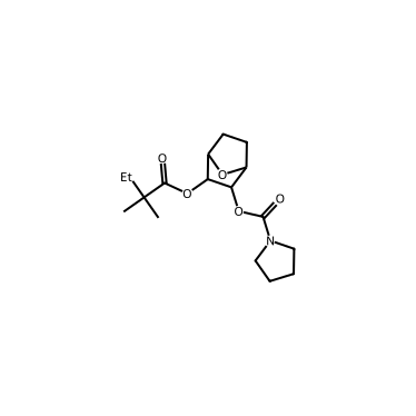 CCC(C)(C)C(=O)OC1C2CCC(O2)C1OC(=O)N1CCCC1